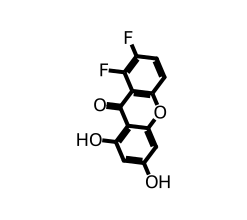 O=c1c2c(O)cc(O)cc2oc2ccc(F)c(F)c12